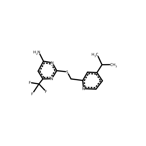 CC(C)c1ccnc(CSc2nc(N)cc(C(F)(F)F)n2)c1